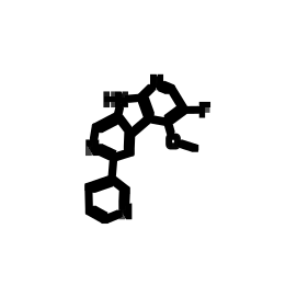 COc1c(F)cnc2[nH]c3cnc(-c4cccnc4)cc3c12